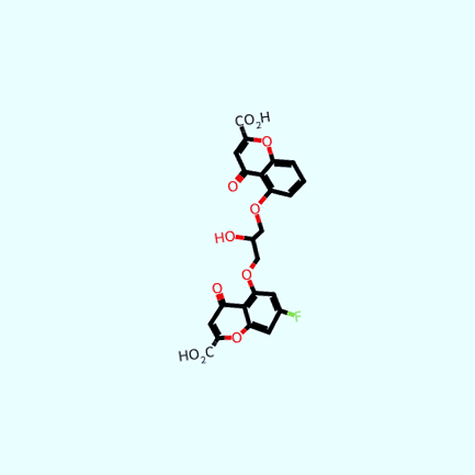 O=C(O)c1cc(=O)c2c(OCC(O)COc3cc(F)cc4oc(C(=O)O)cc(=O)c34)cccc2o1